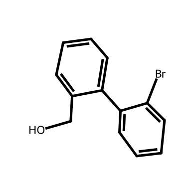 OCc1ccccc1-c1ccccc1Br